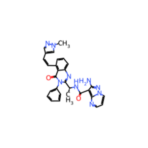 C[C@H](NC(=O)c1c(N)nn2cccnc12)c1nc2cccc(/C=C\c3cnn(C)c3)c2c(=O)n1-c1ccccc1